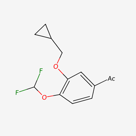 CC(=O)c1ccc(OC(F)F)c(OCC2CC2)c1